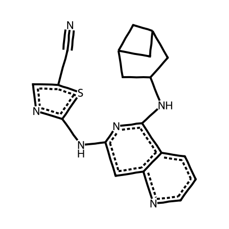 N#Cc1cnc(Nc2cc3ncccc3c(NC3CC4CC(C4)C3)n2)s1